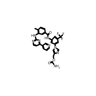 Cc1ccc(C(=O)Nc2cc(-n3cnc(COC(N)=O)c3)cc(C(F)(F)F)c2)cc1Nc1nccc(-c2cccnc2)n1